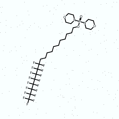 O=P(OCCCCCCCCCCCC(F)(F)C(F)(F)C(F)(F)C(F)(F)C(F)(F)C(F)(F)C(F)(F)C(F)(F)F)(N1CCOCC1)N1CCOCC1